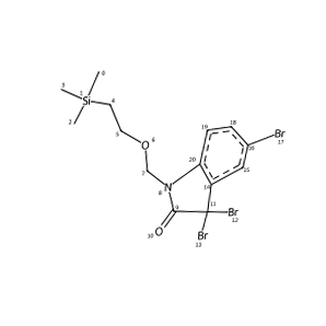 C[Si](C)(C)CCOCN1C(=O)C(Br)(Br)c2cc(Br)ccc21